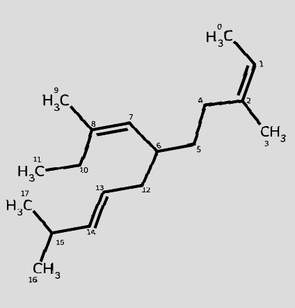 CC=C(C)CC[C](C=C(C)CC)CC=CC(C)C